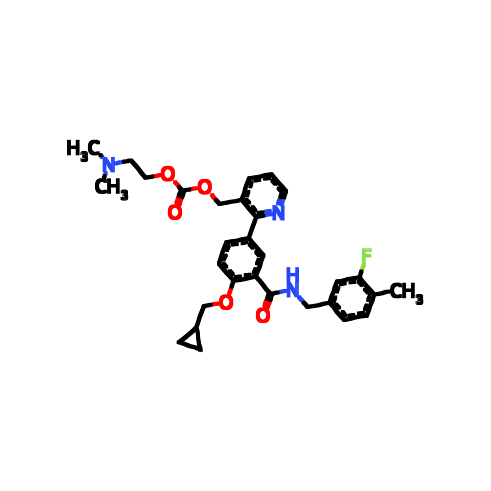 Cc1ccc(CNC(=O)c2cc(-c3ncccc3COC(=O)OCCN(C)C)ccc2OCC2CC2)cc1F